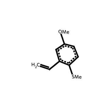 C=[C]c1cc(OC)ccc1SC